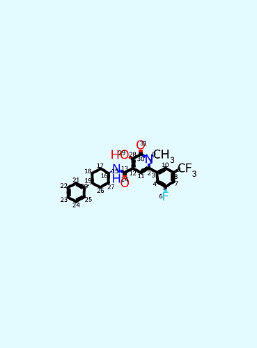 Cn1c(-c2cc(F)cc(C(F)(F)F)c2)cc(C(=O)N[C@H]2CC[C@@H](c3ccccc3)CC2)c(O)c1=O